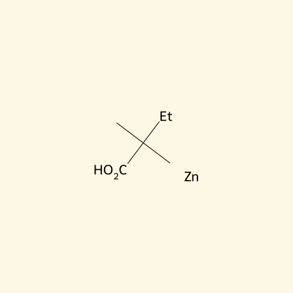 CCC(C)(C)C(=O)O.[Zn]